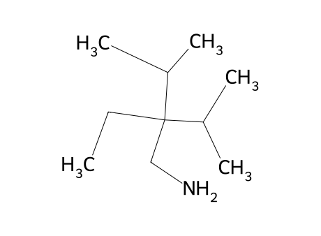 CCC(CN)(C(C)C)C(C)C